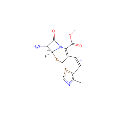 COC(=O)C1=C(/C=C\c2scnc2C)CS[C@H]2C(N)C(=O)N12